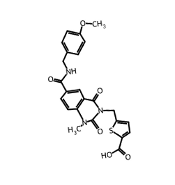 COc1ccc(CNC(=O)c2ccc3c(c2)c(=O)n(Cc2ccc(C(=O)O)s2)c(=O)n3C)cc1